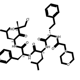 CC(C)C[C@H](NC(=O)[C@H](CCc1ccccc1)NC(=O)CN1CCOCC1)C(=O)N[C@@H](Cc1ccccc1)C(=O)N[C@@H](CC(C)C)C(=O)[C@](C)(O)CCl